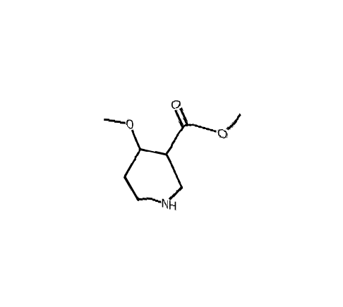 COC(=O)C1CNCCC1OC